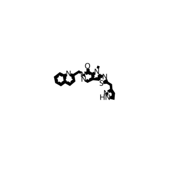 Cn1c2nc(Cc3cc[nH]n3)sc2c2cnn(Cc3ccc4ccccc4n3)c(=O)c21